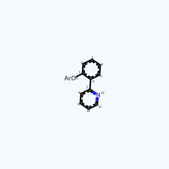 CC(=O)Oc1ccccc1-c1ccccn1